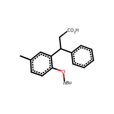 CCCCOc1ccc(C)cc1C(CC(=O)O)c1ccccc1